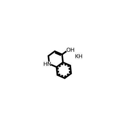 OC1=CCNc2ccccc21.[KH]